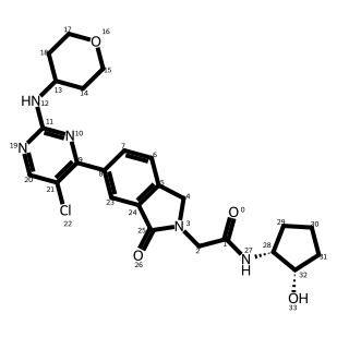 O=C(CN1Cc2ccc(-c3nc(NC4CCOCC4)ncc3Cl)cc2C1=O)N[C@@H]1CCC[C@@H]1O